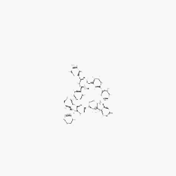 C1=CC2[C@@H](C=C1c1ccc3c(c1)c1ccccc1n3-c1ccccc1)c1ccccc1N2c1cccc(-c2cccc(-c3nc(-c4ccccc4)cc(-c4ccccc4)n3)c2)c1